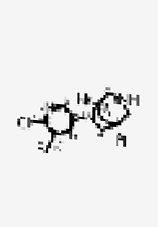 Clc1ncc(N2C[C@@H]3CNC[C@@H]2C3)cc1Br